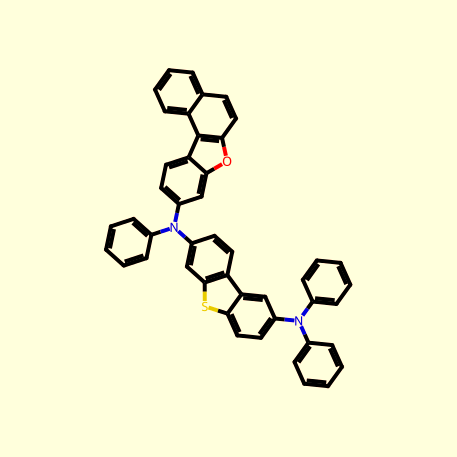 c1ccc(N(c2ccc3c(c2)oc2ccc4ccccc4c23)c2ccc3c(c2)sc2ccc(N(c4ccccc4)c4ccccc4)cc23)cc1